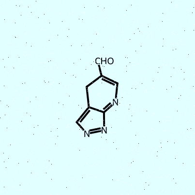 O=CC1=CN=C2N=NC=C2C1